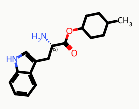 CC1CCC(OC(=O)[C@@H](N)Cc2c[nH]c3ccccc23)CC1